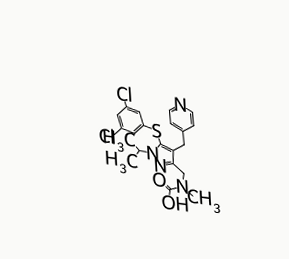 CC(C)n1nc(CN(C)C(=O)O)c(Cc2ccncc2)c1Sc1cc(Cl)cc(Cl)c1